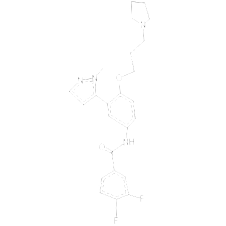 Cn1nccc1-c1cc(NC(=O)c2ccc(F)c(F)c2)ccc1OCCCN1CCCC1